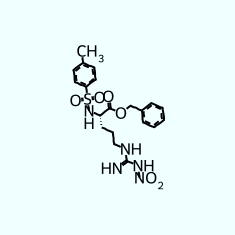 Cc1ccc(S(=O)(=O)N[C@@H](CCCNC(=N)N[N+](=O)[O-])C(=O)OCc2ccccc2)cc1